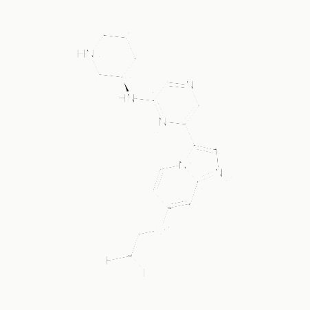 FC(F)COc1ccn2c(-c3cncc(N[C@@H]4CCCNC4)n3)cnc2c1